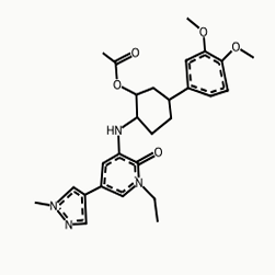 CCn1cc(-c2cnn(C)c2)cc(NC2CCC(c3ccc(OC)c(OC)c3)CC2OC(C)=O)c1=O